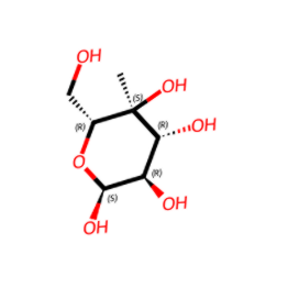 C[C@]1(O)[C@H](O)[C@@H](O)[C@@H](O)O[C@@H]1CO